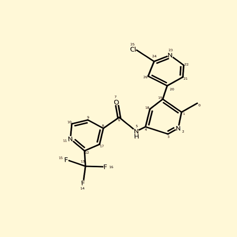 Cc1ncc(NC(=O)c2ccnc(C(F)(F)F)c2)cc1-c1ccnc(Cl)c1